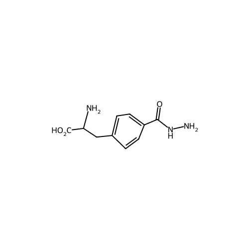 NNC(=O)c1ccc(CC(N)C(=O)O)cc1